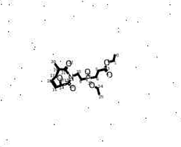 CCOC(=O)CCP(=O)(CCN1C(=O)C2C=CC(O2)C(C)C1=O)OCC